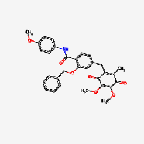 COC1=C(OC)C(=O)C(Cc2ccc(C(=O)Nc3ccc(OC)cc3)c(OCc3ccccc3)c2)=C(C)C1=O